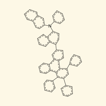 c1ccc(-c2cc(-c3ccccc3)c3c4ccc(-c5ccc(N(c6ccccc6)c6ccc7ccccc7c6)c6ccccc56)cc4c4ccccc4c3c2-c2ccccc2)cc1